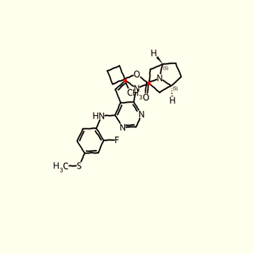 CSc1ccc(Nc2ncnc3c2ccn3C2C[C@@H]3CC[C@@H](C2)N3C(=O)OC2(C)CCC2)c(F)c1